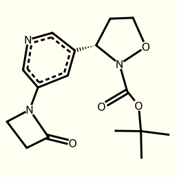 CC(C)(C)OC(=O)N1OCC[C@H]1c1cncc(N2CCC2=O)c1